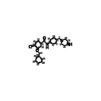 O=C(Nc1ccc(CN2CCNCC2)cc1)c1ccc(Cl)c(OCc2ccccc2)c1